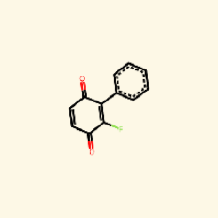 O=C1C=CC(=O)C(c2ccccc2)=C1F